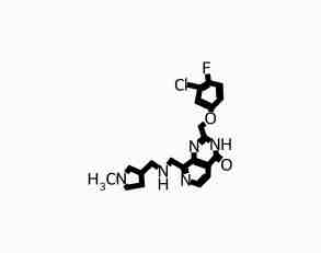 CN1CCC(CNCc2nccc3c(=O)[nH]c(COc4ccc(F)c(Cl)c4)nc23)C1